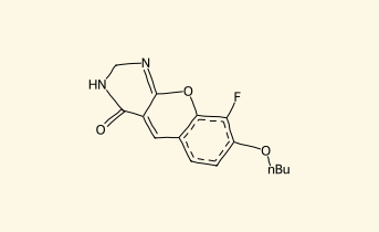 CCCCOc1ccc2c(c1F)OC1=NCNC(=O)C1=C2